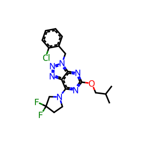 CC(C)COc1nc(N2CCC(F)(F)C2)c2nnn(Cc3ccccc3Cl)c2n1